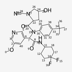 COc1cncc(C(C(=O)NC2CCC(F)(F)CC2)N(C(=O)C2CC(O)CN2C#N)c2ccc(C(C)(C)C)cc2)c1